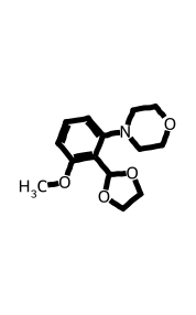 COc1cccc(N2CCOCC2)c1C1OCCO1